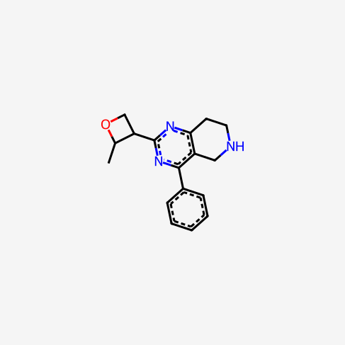 CC1OCC1c1nc2c(c(-c3ccccc3)n1)CNCC2